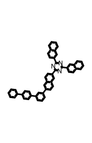 c1ccc(-c2ccc(-c3cccc(-c4ccc5cc(-c6nc(-c7ccc8ccccc8c7)nc(-c7ccc8ccccc8c7)n6)ccc5c4)c3)cc2)cc1